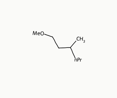 CCCC(C)CCOC